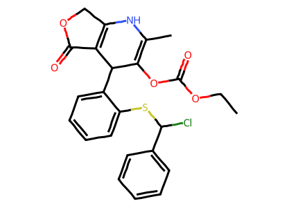 CCOC(=O)OC1=C(C)NC2=C(C(=O)OC2)C1c1ccccc1SC(Cl)c1ccccc1